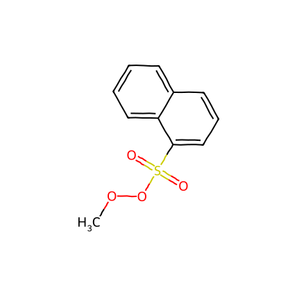 COOS(=O)(=O)c1cccc2ccccc12